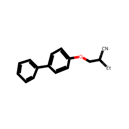 CCC(C#N)COc1ccc(-c2ccccc2)cc1